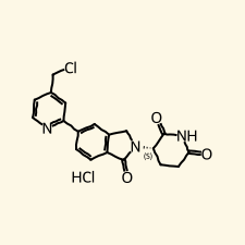 Cl.O=C1CC[C@H](N2Cc3cc(-c4cc(CCl)ccn4)ccc3C2=O)C(=O)N1